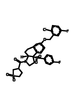 O=C(C1CCS(=O)(=O)C1)N1CC[C@@]2(S(=O)(=O)c3ccc(F)cc3)c3ccc(OCc4cc(F)ccc4Cl)cc3CC[C@@H]12